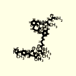 Cc1ncsc1-c1ccc(C2(NC(=O)[C@@H]3C[C@@H](O)CN3C(=O)[C@@H](NC(=O)CCCCc3ccc(CO[C@H](C)[C@H](CCC(N)=O)NC(=O)[C@@H]4Cc5cccc6c5N4C(=O)[C@@H](N)CC6)cc3)C(C)(C)C)CC2)cc1